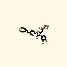 CC(C)(C)NC(=O)Cc1nn(-c2ccc(CCN3C4CCC3COC4)cn2)c(=O)n1-c1ccc(F)c(Cl)c1